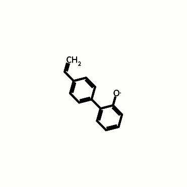 C=Cc1ccc(-c2ccccc2[O])cc1